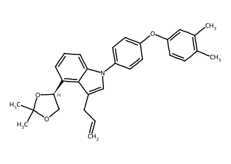 C=CCc1cn(-c2ccc(Oc3ccc(C)c(C)c3)cc2)c2cccc([C@H]3COC(C)(C)O3)c12